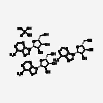 Nc1ncnc2c1ncn2[C@@H]1O[C@H](CO)[C@@H](O)[C@H]1O.Nc1ncnc2c1ncn2[C@@H]1O[C@H](CO)[C@@H](O)[C@H]1O.Nc1ncnc2c1ncn2[C@@H]1O[C@H](CO)[C@@H](O)[C@H]1O.O=P(O)(O)O